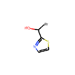 CC(C)C(O)c1nccs1